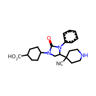 N#CC1(C2CN(C3CCC(C(=O)O)CC3)C(=O)N2c2ccccc2)CCNCC1